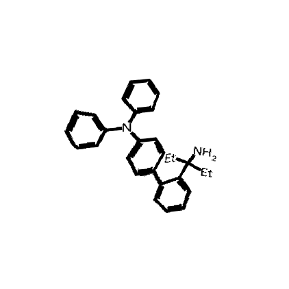 CCC(N)(CC)c1ccccc1-c1ccc(N(c2ccccc2)c2ccccc2)cc1